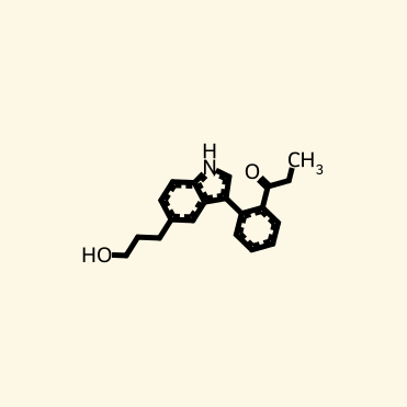 CCC(=O)c1ccccc1-c1c[nH]c2ccc(CCCO)cc12